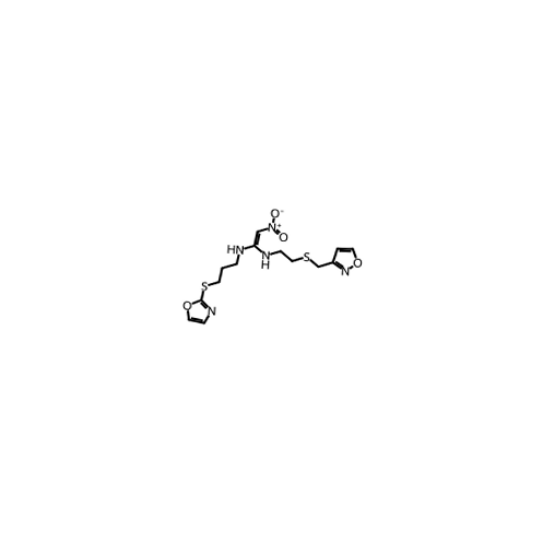 O=[N+]([O-])/C=C(/NCCCSc1ncco1)NCCSCc1ccon1